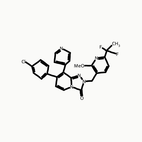 COc1nc(C(C)(F)F)ccc1Cn1nc2c(-c3ccncc3)c(-c3ccc(Cl)cc3)ccn2c1=O